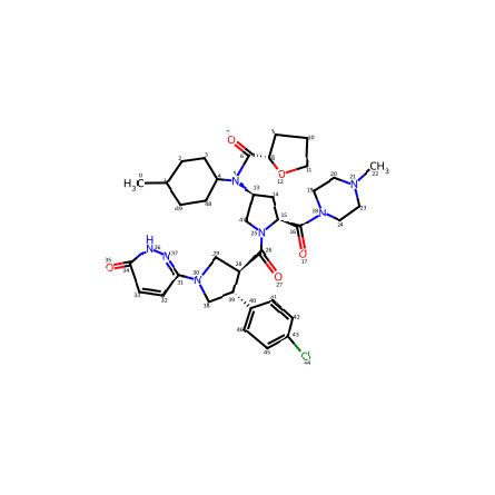 CC1CCC(N(C(=O)[C@@H]2CCCO2)[C@H]2C[C@@H](C(=O)N3CCN(C)CC3)N(C(=O)[C@@H]3CN(c4ccc(=O)[nH]n4)C[C@H]3c3ccc(Cl)cc3)C2)CC1